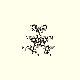 N#Cc1cccc(-c2cc(-c3nc(-c4ccccc4)nc(-c4ccccc4)n3)cc(-c3cccc(C#N)c3)c2-n2c3ccc(-c4cc(C(F)(F)F)cc(C(F)(F)F)c4)cc3c3cc(-c4cc(C(F)(F)F)cc(C(F)(F)F)c4)ccc32)c1